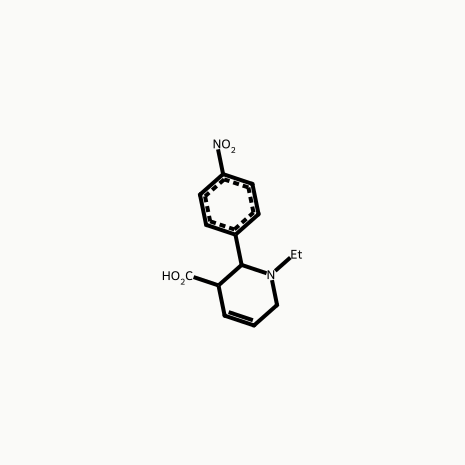 CCN1CC=CC(C(=O)O)C1c1ccc([N+](=O)[O-])cc1